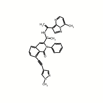 C=C(N[C@@H](C)c1cc2cccc(C#Cc3cnn(C)c3)c2c(=O)n1-c1ccccc1)c1cnn2c(C)ccnc12